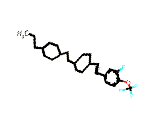 CCCC1CCC(CCC2CCC(/C=C/c3ccc(OC(F)(F)F)c(F)c3)CC2)CC1